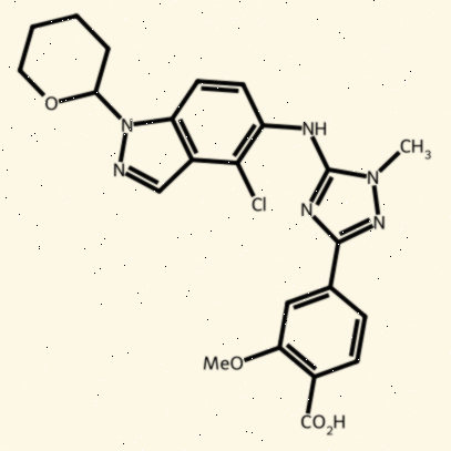 COc1cc(-c2nc(Nc3ccc4c(cnn4C4CCCCO4)c3Cl)n(C)n2)ccc1C(=O)O